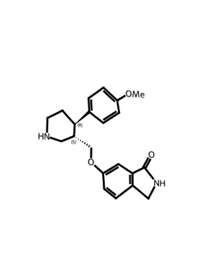 COc1ccc([C@@H]2CCNC[C@H]2COc2ccc3c(c2)C(=O)NC3)cc1